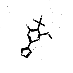 COc1nc(-c2ccsc2)nc(F)c1C(F)(F)F